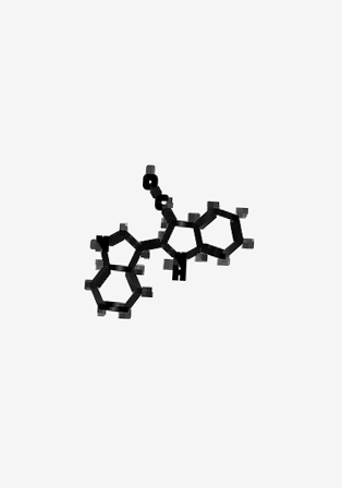 O=C=c1c(=C2C=Nc3ccccc32)[nH]c2ccccc12